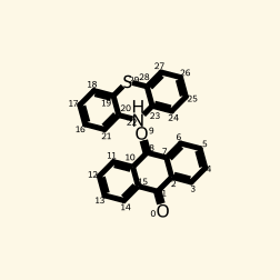 O=C1c2ccccc2C(=O)c2ccccc21.c1ccc2c(c1)Nc1ccccc1S2